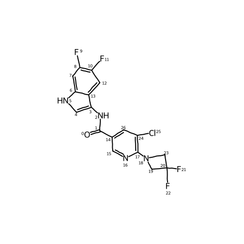 O=C(Nc1c[nH]c2cc(F)c(F)cc12)c1cnc(N2CC(F)(F)C2)c(Cl)c1